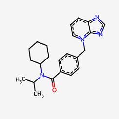 CC(C)N(C(=O)c1ccc(Cn2cccc3ncnc2-3)cc1)C1CCCCC1